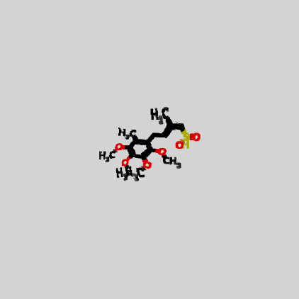 COc1c(C)c(C/C=C(\C)C[SH](=O)=O)c(OC)c(OC)c1OC